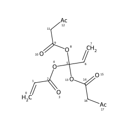 C=CC(=O)OC(C=C)(OC(=O)CC(C)=O)OC(=O)CC(C)=O